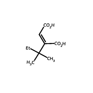 CCC(C)(C)C(=CC(=O)O)C(=O)O